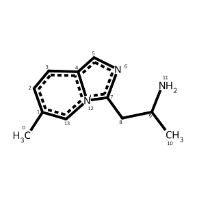 Cc1ccc2cnc(CC(C)N)n2c1